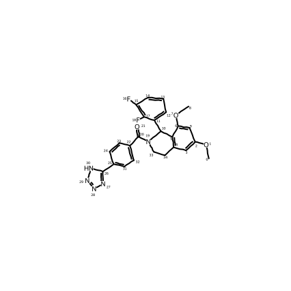 COc1cc2c(c(OC)c1)C(c1cccc(F)c1F)N(C(=O)c1ccc(-c3nnn[nH]3)cc1)CC2